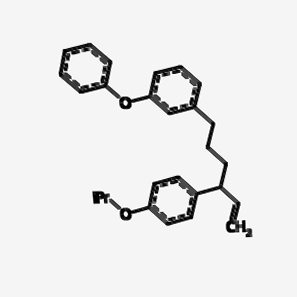 C=CC(CCCc1cccc(Oc2ccccc2)c1)c1ccc(OC(C)C)cc1